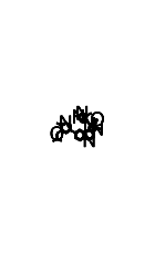 Cc1ncc(-c2ccc3ncc4c(c3c2)n(-c2cn(C)nc2C)c(=O)n4C)cc1OC(C)C